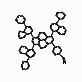 N#Cc1ccc(-c2cc(-c3ccc(-c4ccccc4)c4ccccc34)c3ccc4c(-c5ccc(-c6ccccc6)c6ccccc56)cc(-c5ccc(-c6ccccc6)c6ccccc56)c5ccc2c3c54)cc1